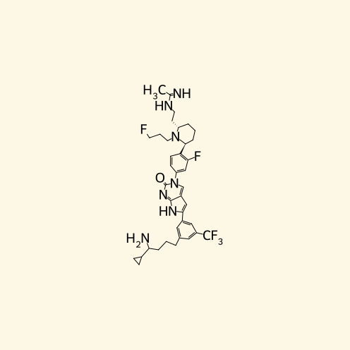 CC(=N)NCC[C@@H]1CCC[C@@H](c2ccc(-n3cc4cc(-c5cc(CCCC(N)C6CC6)cc(C(F)(F)F)c5)[nH]c4nc3=O)cc2F)N1CCCF